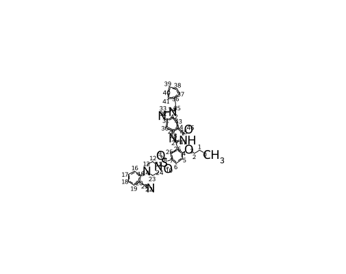 CCCOc1ccc(S(=O)(=O)N2CCN(c3ccccc3C#N)CC2)cc1-c1nc2cc3ncn(Cc4ccccc4)c3cc2c(=O)[nH]1